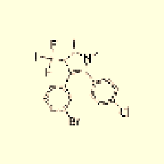 CC1C(C(F)(F)F)C(c2cccc(Br)c2)=C(c2ccc(Cl)cc2)N1C